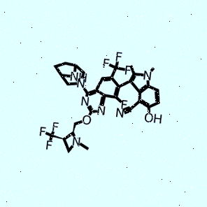 Cc1c(-c2c(C(F)(F)F)cc3c(N4CC5CCC(C4)N5)nc(OC[C@@H]4[C@H](C(F)(F)F)CN4C)nc3c2F)c2c(C#N)c(O)ccc2n1C